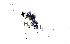 C=C/C(=C\C)C1=NN=C(CN(CCCC)CCC2=C/CCCC(=C)C/C=C\2C)SC1